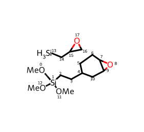 CO[Si](CCC1CCC2OC2C1)(OC)OC.[SiH3]CC1CO1